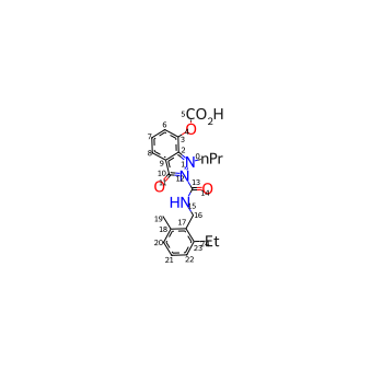 CCCn1c2c(OC(=O)O)cccc2c(=O)n1C(=O)NCc1c(C)cccc1CC